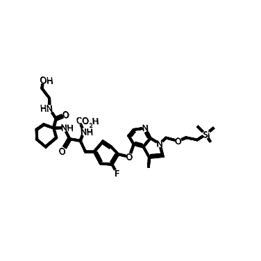 Cc1cn(COCC[Si](C)(C)C)c2nccc(Oc3ccc(CC(NC(=O)O)C(=O)NC4(C(=O)NCCO)CCCCC4)cc3F)c12